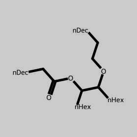 CCCCCCCCCCCCOC(CCCCCC)C(CCCCCC)OC(=O)CCCCCCCCCCC